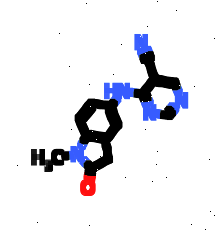 CN1C(=O)Cc2cc(Nc3ncncc3C#N)ccc21